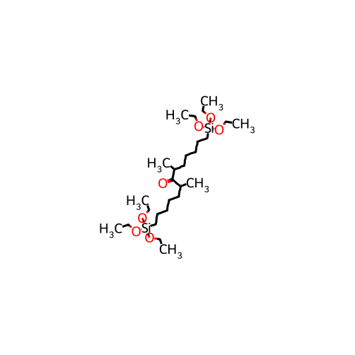 CCO[Si](CCCCCC(C)C(=O)C(C)CCCCC[Si](OCC)(OCC)OCC)(OCC)OCC